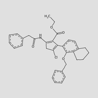 CCOC(=O)C1=C(NC(=O)Cc2ccccc2)CC(Cl)=C1c1ccc2c(c1OCc1ccccc1)CCCC2